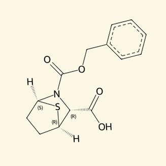 O=C(O)[C@@H]1[C@H]2CC[C@H](S2)N1C(=O)OCc1ccccc1